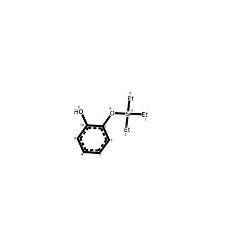 CC[Si](CC)(CC)Oc1ccccc1O